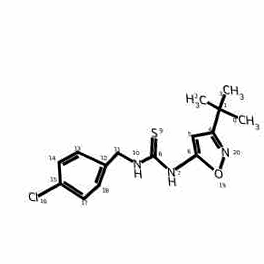 CC(C)(C)c1cc(NC(=S)NCc2ccc(Cl)cc2)on1